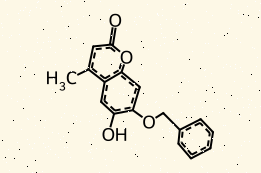 Cc1cc(=O)oc2cc(OCc3ccccc3)c(O)cc12